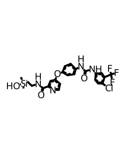 C[Si](C)(O)CCNC(=O)c1cc(Oc2ccc(NC(=O)Nc3ccc(Cl)c(C(F)(F)F)c3)cc2)ccn1